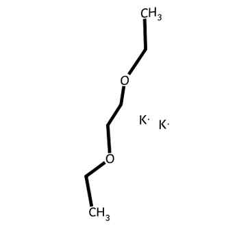 CCOCCOCC.[K].[K]